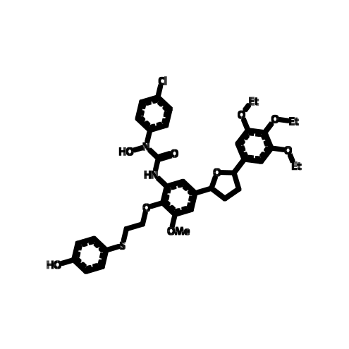 CCOc1cc(C2CCC(c3cc(NC(=O)N(O)c4ccc(Cl)cc4)c(OCCSc4ccc(O)cc4)c(OC)c3)O2)cc(OCC)c1OCC